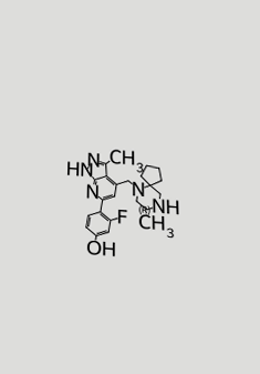 Cc1n[nH]c2nc(-c3ccc(O)cc3F)cc(CN3C[C@@H](C)NCC34CCCC4)c12